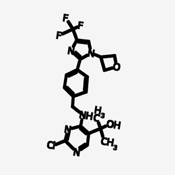 CC(C)(O)c1cnc(Cl)nc1NCc1ccc(-c2nc(C(F)(F)F)cn2C2COC2)cc1